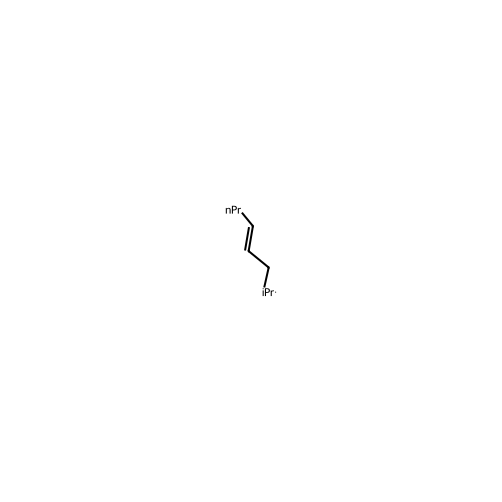 CCCC=CC[C](C)C